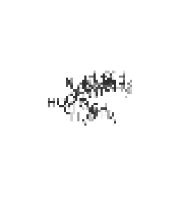 CC(C)(C)[Si](C)(C)O[C@@H]1CO[C@H]2[C@@H]1OC[C@H]2Oc1c(C#N)c2cc(O)c(Cl)cc2n1COCC[Si](C)(C)C